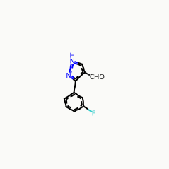 O=Cc1c[nH]nc1-c1cccc(F)c1